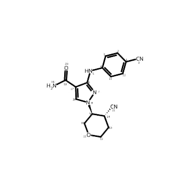 N#Cc1ccc(Nc2nn([C@@H]3COCC[C@H]3C#N)cc2C(N)=O)cc1